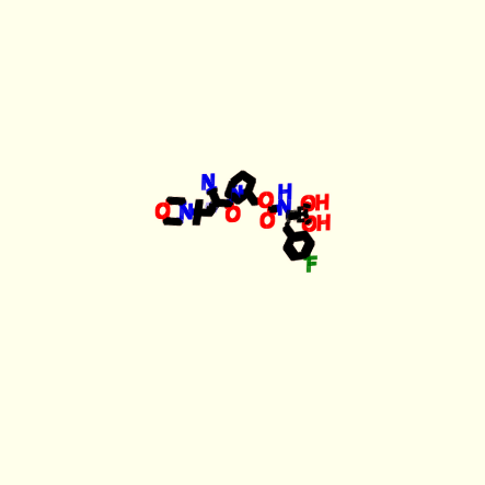 CC(C)(/C=C(\C#N)C(=O)N1C2CCC1(COC(=O)N[C@@H](Cc1ccc(F)cc1)B(O)O)CC2)N1CCOCC1